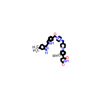 COc1cc(N2CCC(CN3CCN(C(=O)c4ccc5cc(-c6n[nH]c7c6CCC(C)(C)C7)[nH]c5c4)CC3)CC2)ccc1C1CCC(=O)NC1=O